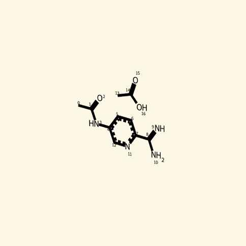 CC(=O)Nc1ccc(C(=N)N)nc1.CC(=O)O